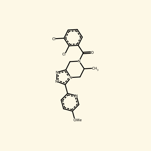 COc1ccc(-c2nnc3n2CC(C)N(C(=O)c2cccc(Cl)c2Cl)C3)nc1